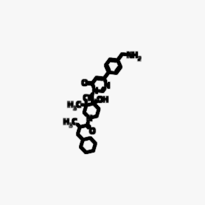 CC(CC1CCCCC1)C(=O)N1CCC(O)(Cn2cnc(-c3ccc(CN)cc3)cc2=O)C(C)(C)C1